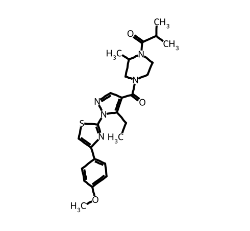 CCc1c(C(=O)N2CCN(C(=O)C(C)C)C(C)C2)cnn1-c1nc(-c2ccc(OC)cc2)cs1